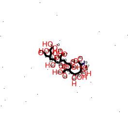 COC(O)C(O)C(O)C(CC=O)CC1OC(C(=O)O)C(CC2OC(C(=O)O)C3CC(O)C(O)C(O)C(OC)C(I)C(=O)OOC2C3O)C(O)C1O